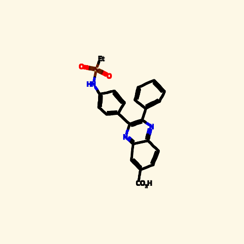 CCS(=O)(=O)Nc1ccc(-c2nc3cc(C(=O)O)ccc3nc2-c2ccccc2)cc1